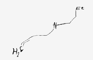 C=CC[N]CCC